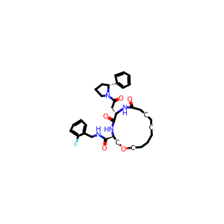 O=C1CCCCCCCCOC[C@@H](C(=O)NCc2ccccc2F)NC(=O)[C@H](CC(=O)N2CCC[C@@H]2c2ccccc2)N1